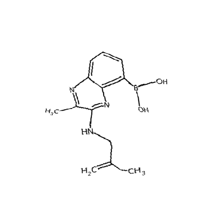 C=C(C)CNc1nc2c(B(O)O)cccc2nc1C